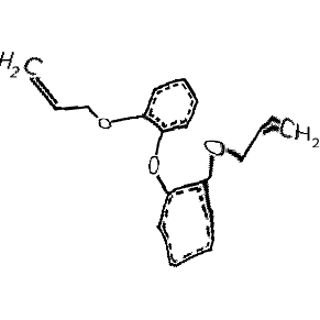 C=CCOc1ccccc1Oc1ccccc1OCC=C